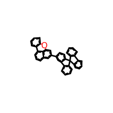 c1ccc2c(c1)Oc1cc(-c3ccc4c(c3)-c3ccccc3C43c4ccccc4-c4ccccc43)cc3cccc-2c13